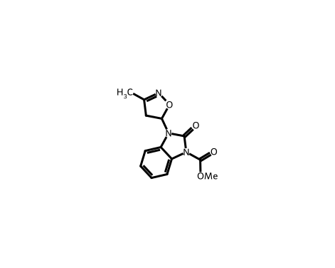 COC(=O)n1c(=O)n(C2CC(C)=NO2)c2ccccc21